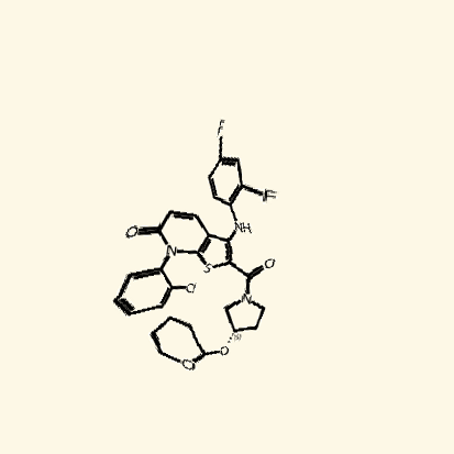 O=C(c1sc2c(ccc(=O)n2-c2ccccc2Cl)c1Nc1ccc(F)cc1F)N1CC[C@H](OC2CCCCO2)C1